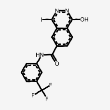 O=C(Nc1cccc(C(F)(F)F)c1)c1ccc2c(O)nnc(I)c2c1